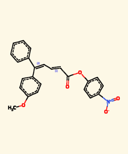 COc1ccc(/C(=C\C=C\C(=O)Oc2ccc([N+](=O)[O-])cc2)c2ccccc2)cc1